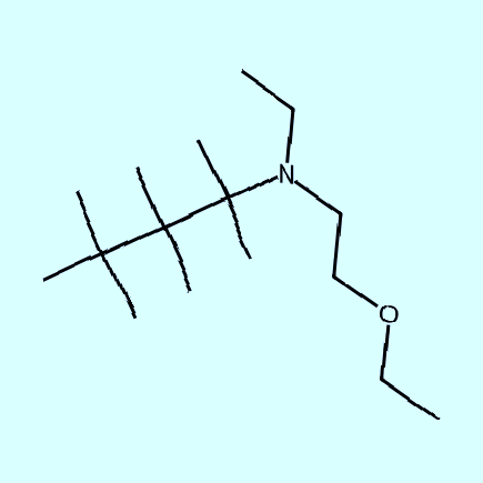 CCOCCN(CC)C(C)(C)C(C)(C)C(C)(C)C